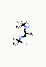 CC(=O)C(C)(C)NCC(C)CNC(C)(C)C(C)=O